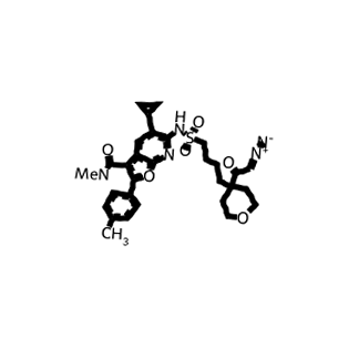 CNC(=O)c1c(-c2ccc(C)cc2)oc2nc(NS(=O)(=O)CCCCC3(C(=O)C=[N+]=[N-])CCOCC3)c(C3CC3)cc12